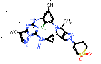 C[C@H]1c2nn(C3CCS(=O)(=O)CC3)cc2CN1c1cc(C#N)cc(Nc2nc(NC3CC3)n3ncc(C#N)c3n2)c1Cl